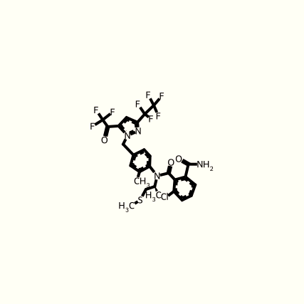 CSC[C@H](C)N(C(=O)c1c(Cl)cccc1C(N)=O)c1ccc(Cn2nc(C(F)(F)C(F)(F)F)cc2C(=O)C(F)(F)F)cc1C